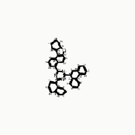 c1ccc2c(-c3nc(-c4cc5ccccc5c5ccccc45)nc(-c4cccc5c4ccc4oc6ccccc6c45)n3)cccc2c1